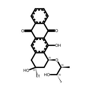 CC[C@]1(O)Cc2cc3c(c(O)c2[C@@H](O[C@@H](C)[C@H](C)O)C1)C(=O)c1ccccc1C3=O